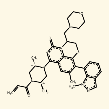 C=CC(=O)N1C[C@H](C)N(c2nc(=O)n3c4c(c(-c5cccc6cnn(C)c56)c(C)cc24)SCC3CN2CCOCC2)C[C@H]1C